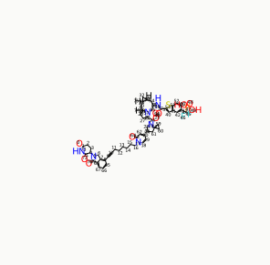 O=C1CCC(N2Cc3c(C#CCCCCCCn4ccc([C@@H]5CN(C(=O)[C@@H]6CC[C@@H]7C[C@H]8C[C@H]8C[C@H](NC(=O)c8cc9cc(C(F)(F)P(=O)(O)O)ccc9s8)C(=O)N76)C6(CC6)C5)cc4=O)cccc3C2=O)C(=O)N1